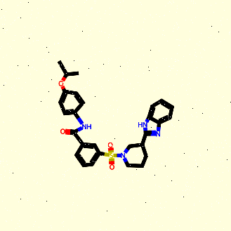 CC(C)Oc1ccc(NC(=O)c2cccc(S(=O)(=O)N3CCCC(c4nc5ccccc5[nH]4)C3)c2)cc1